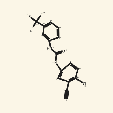 C#Cc1cc(NC(=O)Nc2cccc(C(F)(F)F)c2)ccc1Cl